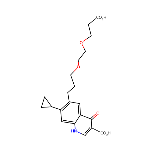 O=C(O)CCOCCOCCCc1cc2c(=O)c(C(=O)O)c[nH]c2cc1C1CC1